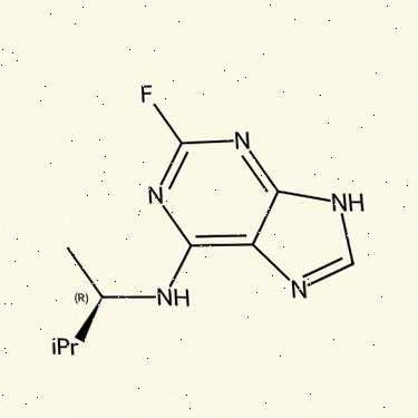 CC(C)[C@@H](C)Nc1nc(F)nc2[nH]cnc12